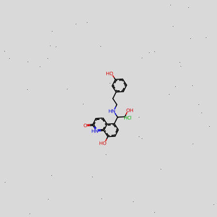 Cl.O=c1ccc2c(C(CO)NCCc3cccc(O)c3)ccc(O)c2[nH]1